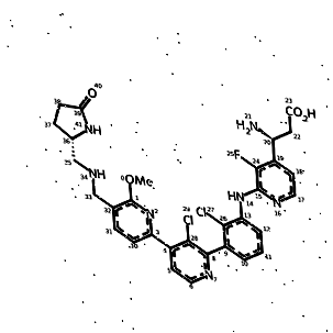 COc1nc(-c2ccnc(-c3cccc(Nc4nccc([C@@H](N)CC(=O)O)c4F)c3Cl)c2Cl)ccc1CNC[C@@H]1CCC(=O)N1